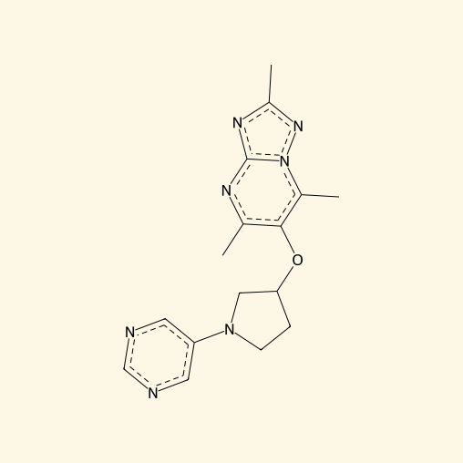 Cc1nc2nc(C)c(OC3CCN(c4cncnc4)C3)c(C)n2n1